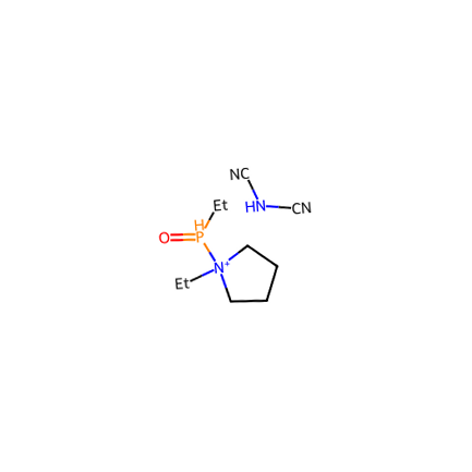 CC[PH](=O)[N+]1(CC)CCCC1.N#CNC#N